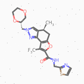 C[C@H]1Cc2oc(C(=O)NCc3nccs3)c(C(F)(F)F)c2-c2nn(C[C@H]3COCCO3)cc21